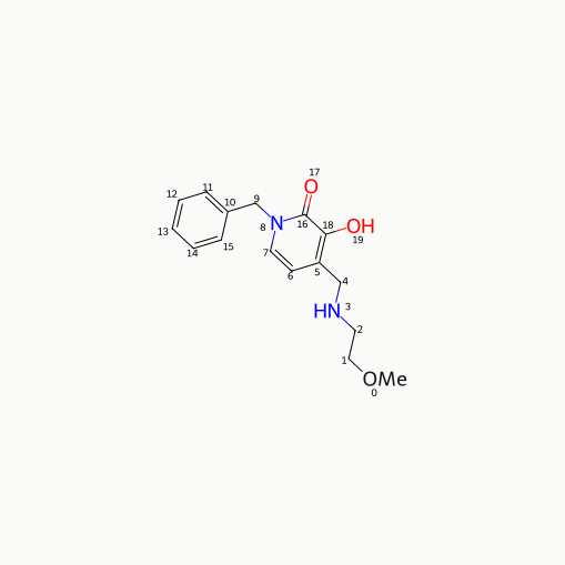 COCCNCc1ccn(Cc2ccccc2)c(=O)c1O